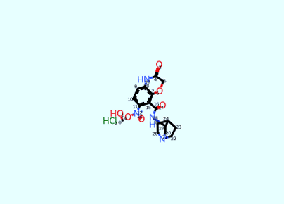 CO.Cl.O=C1COc2c(ccc([N+](=O)[O-])c2C(=O)NC2CN3CCC2CC3)N1